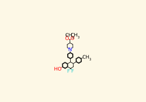 COC(OC)C1CCN(c2ccc(C3c4ccc(O)cc4C(F)(F)CC3c3ccc(C)cc3)cc2)CC1